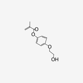 C=C(C)C(=O)Oc1ccc(OCCO)cc1